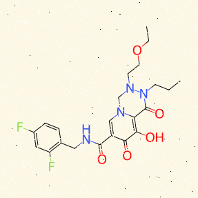 CCCN1C(=O)c2c(O)c(=O)c(C(=O)NCc3ccc(F)cc3F)cn2CN1CCOCC